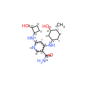 C[C@@H]1CC[C@@H](Nc2cc(NC3CCC3O)ncc2C(N)=O)C[C@H]1O